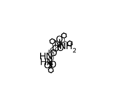 COC(=O)N(C(=O)[C@@H](N)C(c1ccccc1)c1ccccc1)c1ccccc1CC[C@@H]1CN[C@H](CNS(=O)(=O)c2ccccc2)CO1